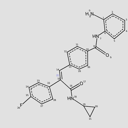 Nc1ccccc1NC(=O)c1ccc(/C=C(\C(=O)NC2CC2)c2ccc(F)cc2)cc1